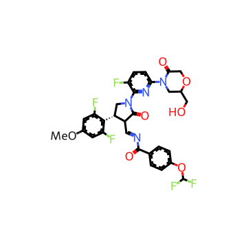 COc1cc(F)c([C@@H]2CN(c3nc(N4CC(CO)OCC4=O)ccc3F)C(=O)C2/C=N/C(=O)c2ccc(OC(F)F)cc2)c(F)c1